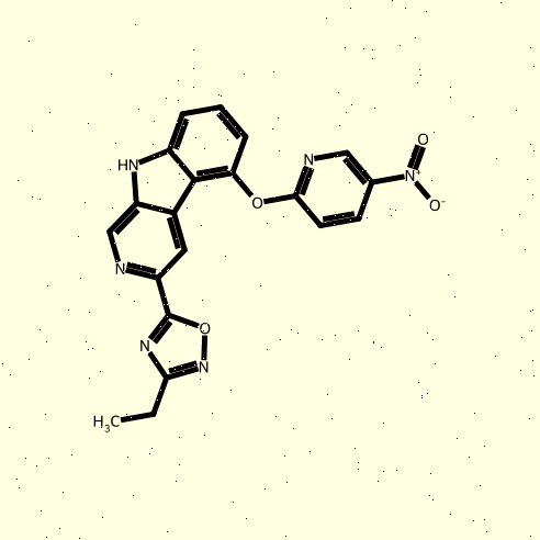 CCc1noc(-c2cc3c(cn2)[nH]c2cccc(Oc4ccc([N+](=O)[O-])cn4)c23)n1